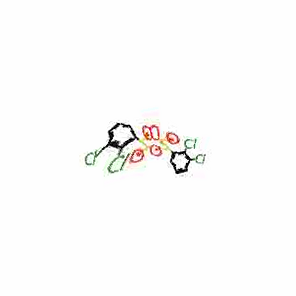 O=S(=O)(OS(=O)(=O)c1cccc(Cl)c1Cl)c1cccc(Cl)c1Cl